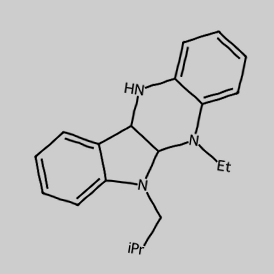 CCN1c2ccccc2NC2c3ccccc3N(CC(C)C)C21